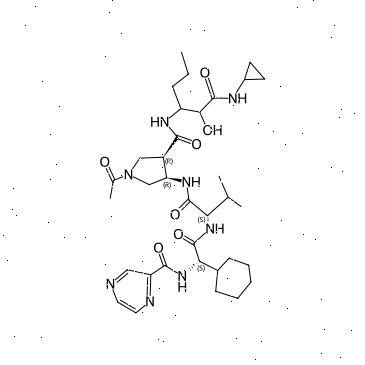 CCCC(NC(=O)[C@@H]1CN(C(C)=O)C[C@@H]1NC(=O)[C@@H](NC(=O)[C@@H](NC(=O)c1cnccn1)C1CCCCC1)C(C)C)C(O)C(=O)NC1CC1